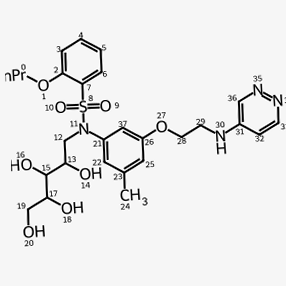 CCCOc1ccccc1S(=O)(=O)N(CC(O)C(O)C(O)CO)c1cc(C)cc(OCCNc2ccnnc2)c1